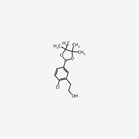 CC1(C)OB(c2ccc(Cl)c(CCO)c2)OC1(C)C